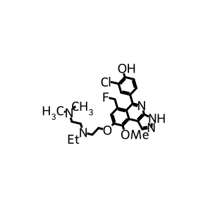 CCN(CCOc1cc(CF)c2c(-c3ccc(O)c(Cl)c3)nc3[nH]ncc3c2c1OC)CCN(C)C